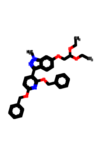 CCOC(COc1ccc2c(-c3ccc(OCc4ccccc4)nc3OCc3ccccc3)nn(C)c2c1)OCC